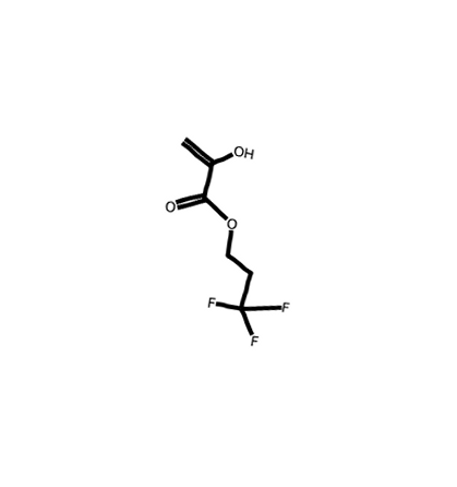 C=C(O)C(=O)OCCC(F)(F)F